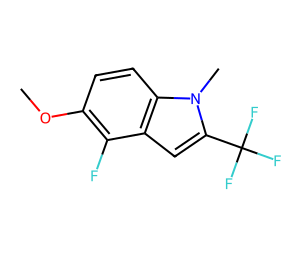 COc1ccc2c(cc(C(F)(F)F)n2C)c1F